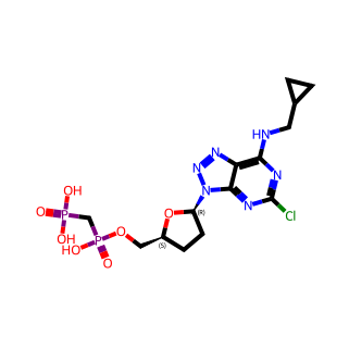 O=P(O)(O)CP(=O)(O)OC[C@@H]1CC[C@H](n2nnc3c(NCC4CC4)nc(Cl)nc32)O1